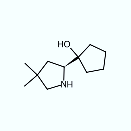 CC1(C)CN[C@H](C2(O)CCCC2)C1